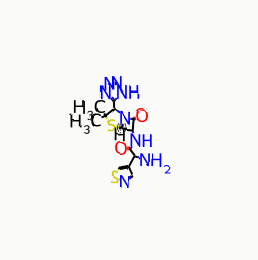 CC1(C)S[C@@H]2C(NC(=O)C(N)c3cnsc3)C(=O)N2C1c1nnn[nH]1